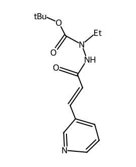 CCN(NC(=O)/C=C/c1cccnc1)C(=O)OC(C)(C)C